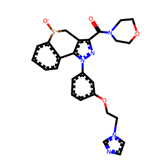 O=C(c1nn(-c2cccc(OCCn3ccnc3)c2)c2c1C[S+]([O-])c1ccccc1-2)N1CCOCC1